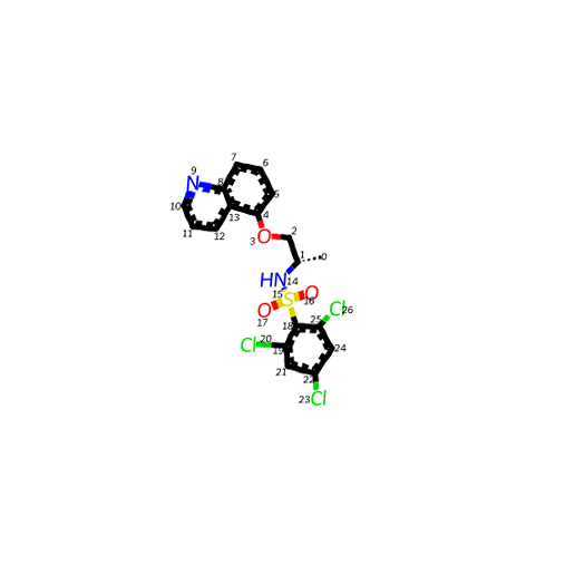 C[C@@H](COc1cccc2ncccc12)NS(=O)(=O)c1c(Cl)cc(Cl)cc1Cl